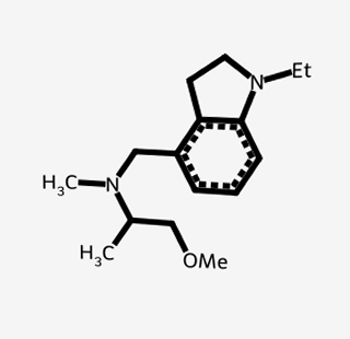 CCN1CCc2c(CN(C)C(C)COC)cccc21